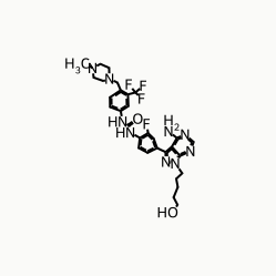 CN1CCN(Cc2ccc(NC(=O)Nc3ccc(-c4nn(CCCCCO)c5ncnc(N)c45)cc3F)cc2C(F)(F)F)CC1